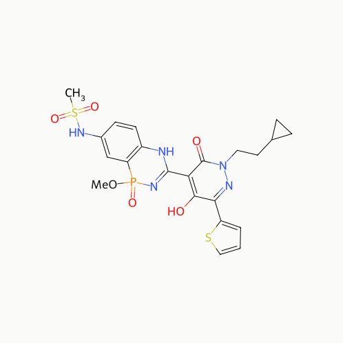 COP1(=O)N=C(c2c(O)c(-c3cccs3)nn(CCC3CC3)c2=O)Nc2ccc(NS(C)(=O)=O)cc21